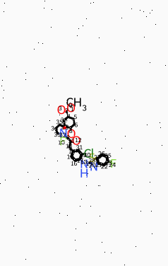 COC(=O)[C@H]1CC[C@H](OC(F)(C(=O)Cc2ccc(Nc3nc4cc(F)ccc4s3)c(Cl)c2)N2CCCC2)CC1